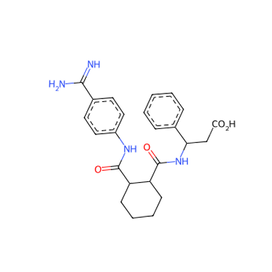 N=C(N)c1ccc(NC(=O)C2CCCCC2C(=O)NC(CC(=O)O)c2ccccc2)cc1